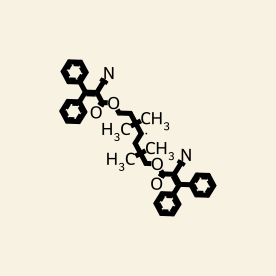 CC(C)([CH]CC(C)(C)COC(=O)C(C#N)=C(c1ccccc1)c1ccccc1)CCOC(=O)C(C#N)=C(c1ccccc1)c1ccccc1